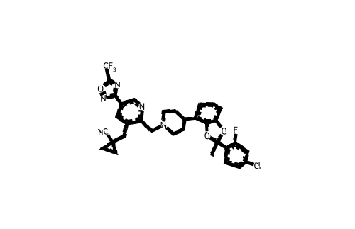 CC1(c2ccc(Cl)cc2F)Oc2cccc(C3CCN(Cc4ncc(-c5noc(C(F)(F)F)n5)cc4CC4(C#N)CC4)CC3)c2O1